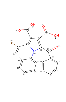 O=C(O)c1c(C(=O)O)c2c(Br)cc3ccccc3n2c1C(=O)c1ccccc1